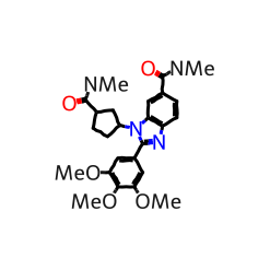 CNC(=O)c1ccc2nc(-c3cc(OC)c(OC)c(OC)c3)n(C3CCC(C(=O)NC)C3)c2c1